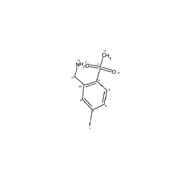 CS(=O)(=O)c1ccc(F)cc1CN